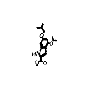 COC(=O)c1cc2c(OC(C)C)cc(OCC(C)C)cc2[nH]1